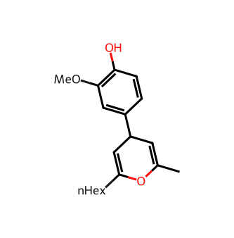 CCCCCCC1=CC(c2ccc(O)c(OC)c2)C=C(C)O1